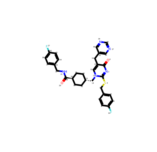 O=c1nc(SCc2ccc(F)cc2)n(C[C@H]2CC[C@H](C(=O)NCc3ccc(F)cc3)CC2)cc1Cc1cncnc1